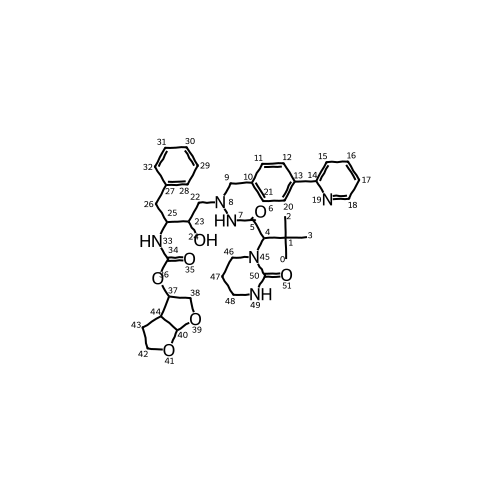 CC(C)(C)C(C(=O)NN(Cc1ccc(-c2ccccn2)cc1)CC(O)C(Cc1ccccc1)NC(=O)OC1COC2OCCC12)N1CCCNC1=O